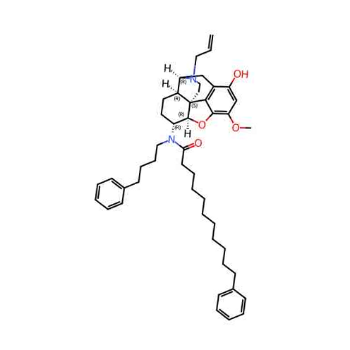 C=CCN1CC[C@]23c4c5c(O)cc(OC)c4O[C@H]2[C@H](N(CCCCc2ccccc2)C(=O)CCCCCCCCCCc2ccccc2)CC[C@H]3[C@H]1C5